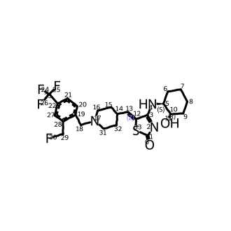 O=C1N=C(N[C@H]2CCCC[C@H]2O)/C(=C/C2CCN(Cc3ccc(C(F)(F)F)cc3CF)CC2)S1